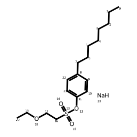 CCCCCCCCc1ccc(OS(=O)(=O)CCOCC)cc1.[NaH]